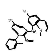 C=Nc1c(/C=C\C)cc(C(C)(C)C)cc1Nc1cc(C(C)(C)C)cc(-c2ccccc2C)c1N=C